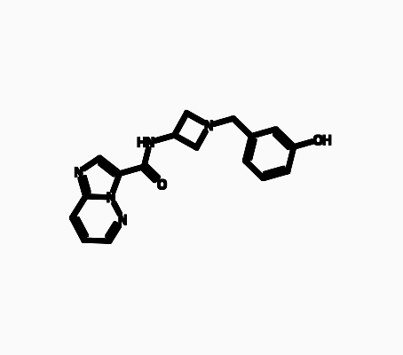 O=C(NC1CN(Cc2cccc(O)c2)C1)c1cnc2cccnn12